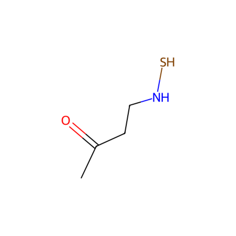 CC(=O)CCNS